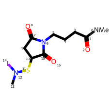 CNC(=O)CCCN1C(=O)CC(SN(C)I)C1=O